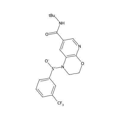 CC(C)(C)NC(=O)c1cnc2c(c1)N([S+]([O-])c1cccc(C(F)(F)F)c1)CCO2